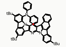 CC(C)(C)c1ccc2c(c1)c1cc3ccccc3c3c4cc5c(nc4n2c13)c1cc(C(C)(C)C)cc2c3cc(C(C)(C)C)cc(N(c4ccccc4)c4ccccc4)c3n5c21